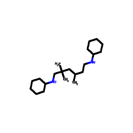 CC(CCNC1CCCCC1)CC(C)(C)CNC1CCCCC1